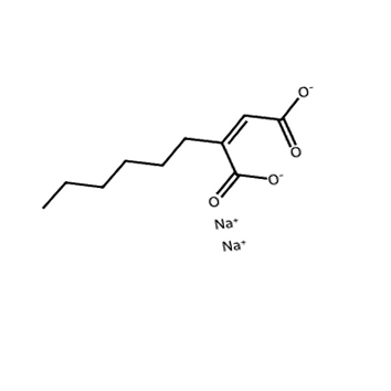 CCCCCCC(=CC(=O)[O-])C(=O)[O-].[Na+].[Na+]